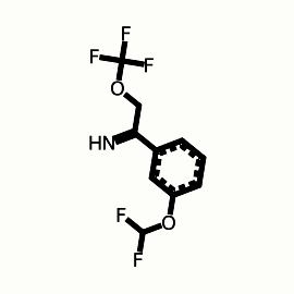 N=C(COC(F)(F)F)c1cccc(OC(F)F)c1